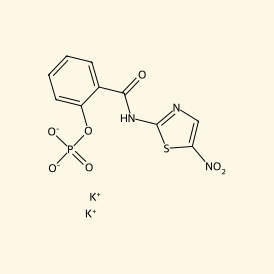 O=C(Nc1ncc([N+](=O)[O-])s1)c1ccccc1OP(=O)([O-])[O-].[K+].[K+]